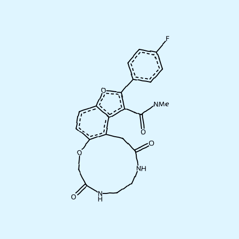 CNC(=O)c1c(-c2ccc(F)cc2)oc2ccc3c(c12)CC(=O)NCCNC(=O)CO3